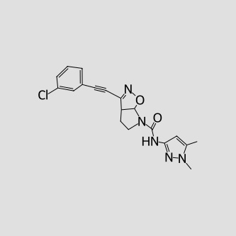 Cc1cc(NC(=O)N2CCC3C(C#Cc4cccc(Cl)c4)=NOC32)nn1C